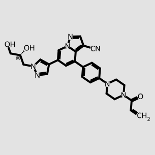 C=CC(=O)N1CCN(c2ccc(-c3cc(-c4cnn(C[C@@H](O)CO)c4)cn4ncc(C#N)c34)cc2)CC1